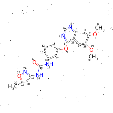 COc1cc2ncnc(Oc3cccc(NC(=O)Nc4cc(C)on4)c3)c2cc1OC